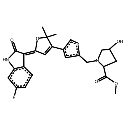 COC(=O)C1CC(O)CN1Cc1cc(C2=CC(=C3C(=O)Nc4cc(F)ccc43)OC2(C)C)cs1